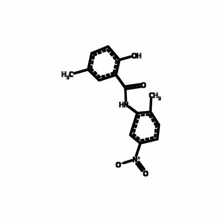 Cc1ccc(O)c(C(=O)Nc2cc([N+](=O)[O-])ccc2C)c1